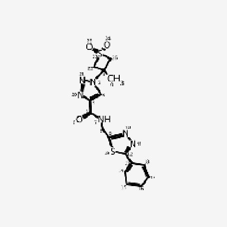 CC1(n2cc(C(=O)NCc3nnc(-c4ccccc4)s3)nn2)CS(=O)(=O)C1